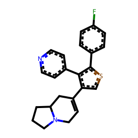 Fc1ccc(-c2scc(C3=CCN4CCCC4C3)c2-c2ccncc2)cc1